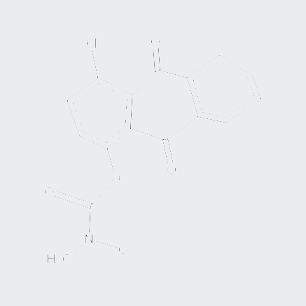 CN(C)C(=O)Oc1ccc(Cl)c2c1C(=O)c1ccccc1C2=O